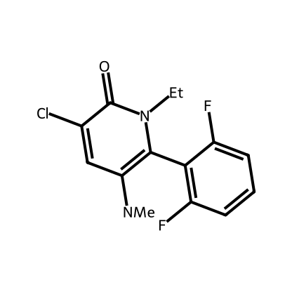 CCn1c(-c2c(F)cccc2F)c(NC)cc(Cl)c1=O